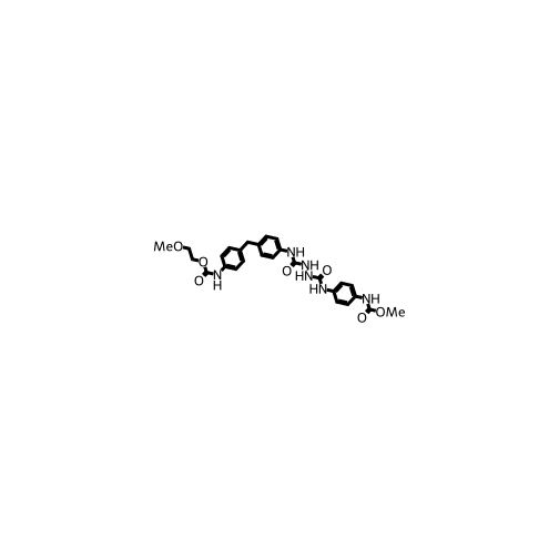 COCCOC(=O)Nc1ccc(Cc2ccc(NC(=O)NNC(=O)Nc3ccc(NC(=O)OC)cc3)cc2)cc1